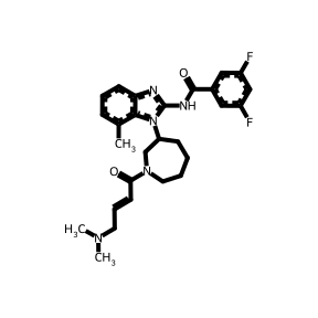 Cc1cccc2nc(NC(=O)c3cc(F)cc(F)c3)n(C3CCCCN(C(=O)/C=C/CN(C)C)C3)c12